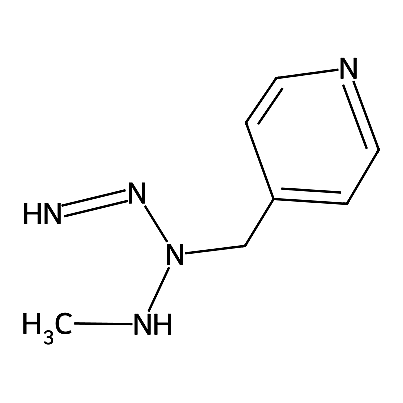 CNN(Cc1ccncc1)N=N